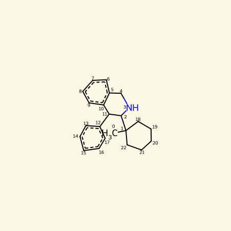 CC1(C2NCc3ccccc3C2c2ccccc2)CCCCC1